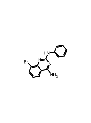 Nc1nc(Nc2ccccc2)nc2c(Br)cccc12